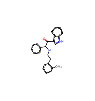 COc1ccccc1CCNC(C(=O)c1c[nH]c2ccccc12)c1ccccc1